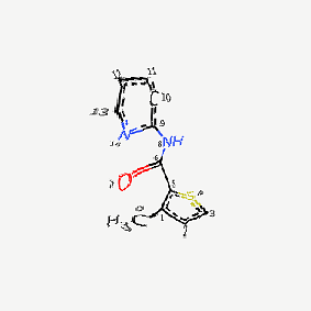 Cc1ccsc1C(=O)Nc1ccccn1